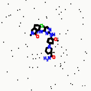 COc1cc(N2CCC[C@](C)(C(N)=O)C2)ccc1Nc1ncc(Cl)c(Nc2cccc3c2C(=O)N(C)C3)n1